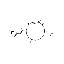 CC[Si](CC)(CC)O[C@H]1[C@@H](C)CCCC(CO)[C@@H](O)C[C@@H](C(C)=Cc2csc(C)n2)OC(=O)/C=C/C(C)(C)C(=O)[C@@H]1C